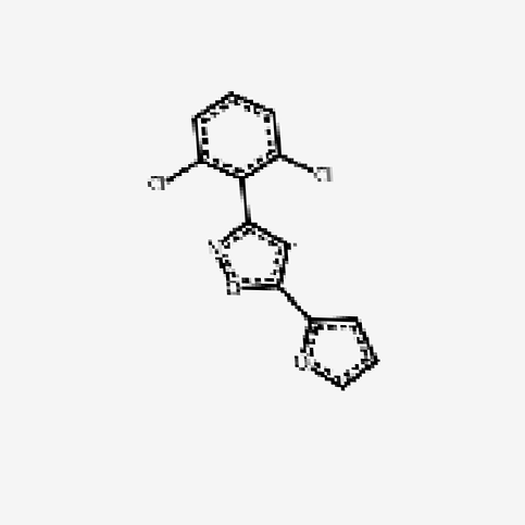 Clc1cccc(Cl)c1-c1[c]c(-c2ccco2)on1